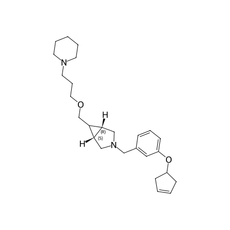 C1=CCC(Oc2cccc(CN3C[C@@H]4C(COCCCN5CCCCC5)[C@@H]4C3)c2)C1